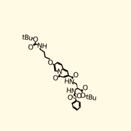 CC(C)(C)OC(=O)NCCCCOc1ccc2cc(C(=O)NC[C@H](NS(=O)(=O)c3ccccc3)C(=O)OC(C)(C)C)cc(=O)n2c1